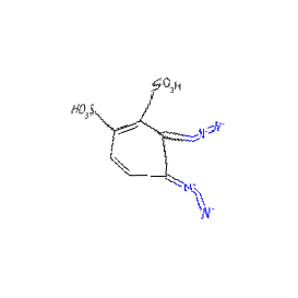 [N-]=[N+]=C1C=CC(S(=O)(=O)O)=C(S(=O)(=O)O)C1=[N+]=[N-]